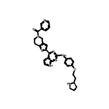 O=C(c1cccnc1)N1CCc2sc(-c3nc(Nc4ccc(OCCC5CCCN5)cc4)nc4[nH]ccc34)cc2C1